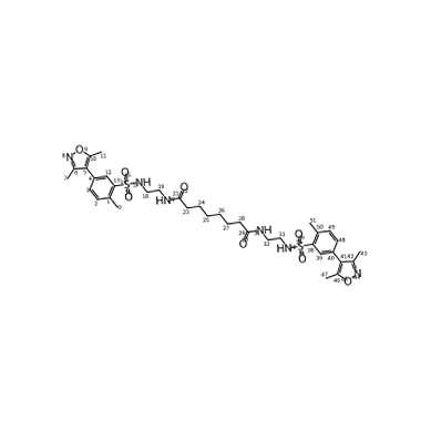 Cc1ccc(-c2c(C)noc2C)cc1S(=O)(=O)NCCNC(=O)CCCCCCC(=O)NCCNS(=O)(=O)c1cc(-c2c(C)noc2C)ccc1C